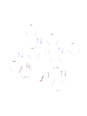 c1ccc(N2c3cc4c(cc3B3c5cc6c(cc5N(c5ccccc5)c5cccc2c53)N2c3c(ccc5c3B6c3ccccc3O5)C3CCCCC32)B2c3ccccc3Oc3ccc5c(c32)N4C2CCCCC52)cc1